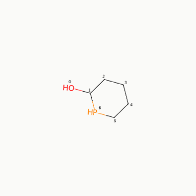 OC1CCCCP1